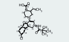 CCC1CN(C2=CN(NC(=O)C(C)(C)C)Cc3c2oc2ccc(Cl)cc32)CCN1C(=O)O